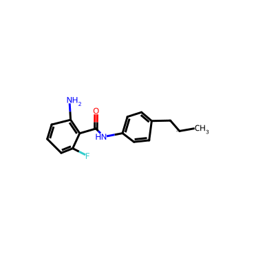 C[CH]Cc1ccc(NC(=O)c2c(N)cccc2F)cc1